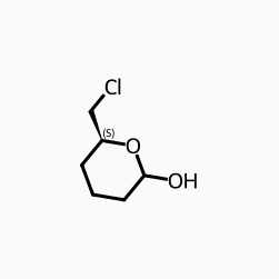 OC1CCC[C@@H](CCl)O1